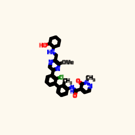 COc1nc(-c2cccc(-c3cccc(NC(=O)c4ccnn(C)c4=O)c3C)c2Cl)cnc1CNC1CCCCC1O